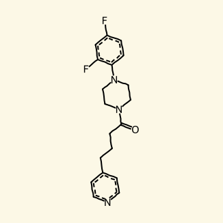 O=C(CCCc1ccncc1)N1CCN(c2ccc(F)cc2F)CC1